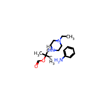 CC(C)(C)OC=O.CCN1CCNCC1.Nc1ccccc1